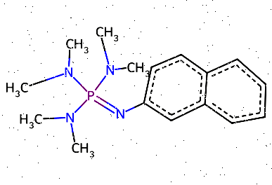 CN(C)P(=Nc1ccc2ccccc2c1)(N(C)C)N(C)C